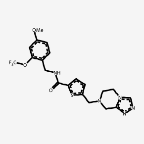 COc1ccc(CNC(=O)c2ccc(CN3CCn4cnnc4C3)s2)c(OC(F)(F)F)c1